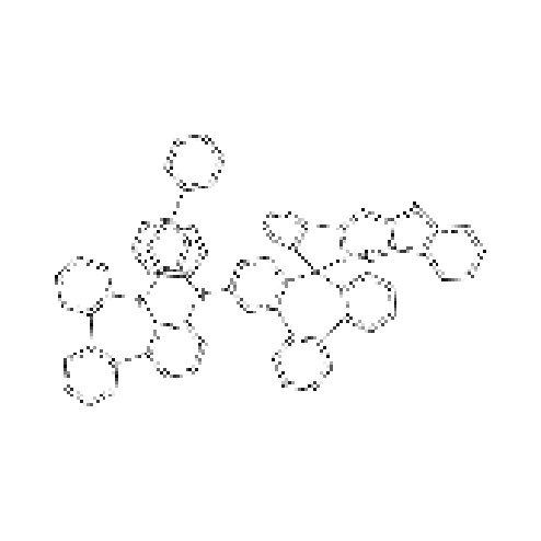 c1ccc(-c2cccc(N(c3ccc4c(c3)-c3ccccc3-c3ccccc3C43c4ccccc4-c4cc5sc6ccccc6c5cc43)c3cccc4c3N(c3ccccc3)c3ccccc3-c3ccccc3-4)c2)cc1